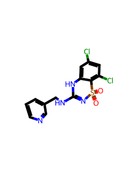 O=S1(=O)N=C(NCc2cccnc2)Nc2cc(Cl)cc(Cl)c21